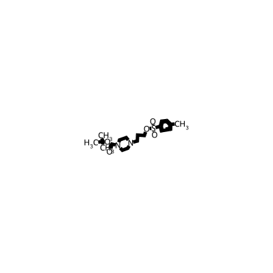 Cc1ccc(S(=O)(=O)OCCCN2CCN(C(=O)OC(C)(C)C)CC2)cc1